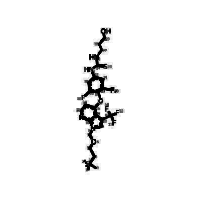 C[Si](C)(C)CCOCn1cc(C(F)(F)F)c2c(Oc3c(F)cc(NC(=S)NCCCO)cc3F)ccnc21